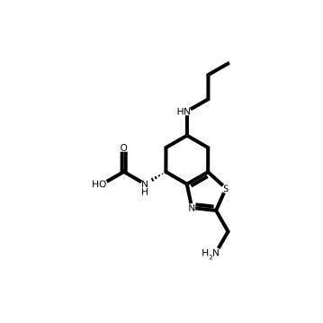 CCCNC1Cc2sc(CN)nc2[C@H](NC(=O)O)C1